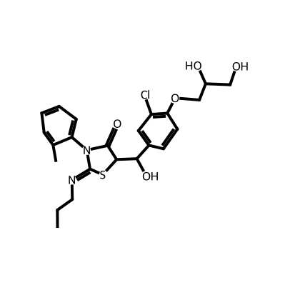 CCC/N=C1\SC(C(O)c2ccc(OCC(O)CO)c(Cl)c2)C(=O)N1c1ccccc1C